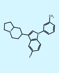 Cc1cccc(-n2cc(C3CCN4CCCC4C3)c3cc(F)ccc32)c1